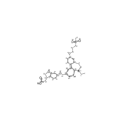 CCN1CCc2cc(OCCCS(C)(=O)=O)ccc2-c2cc(COc3ccc4c(c3)OCC4CC(=O)O)ccc21